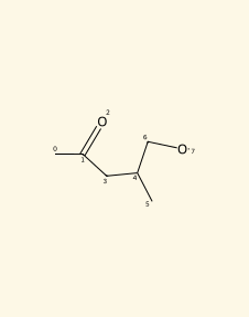 CC(=O)CC(C)C[O]